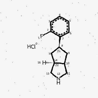 Cl.Fc1ccccc1[C@H]1CC2CNC[C@H]2C1